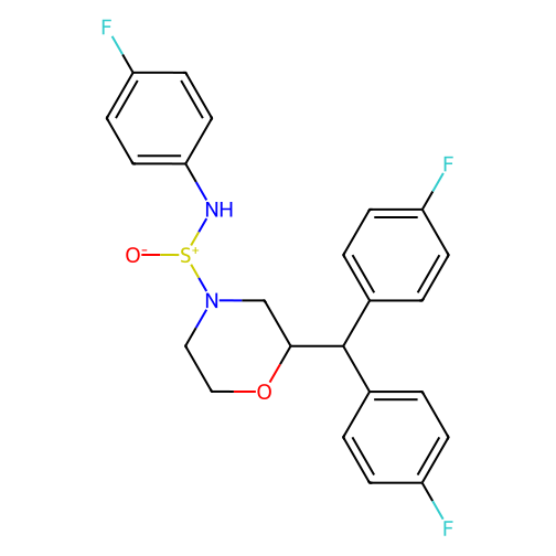 [O-][S+](Nc1ccc(F)cc1)N1CCOC(C(c2ccc(F)cc2)c2ccc(F)cc2)C1